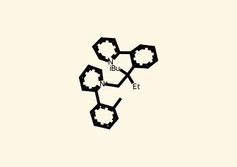 CCC(C)C(CC)(C[n+]1ccccc1-c1ccccc1C)c1ccccc1-c1ccccn1